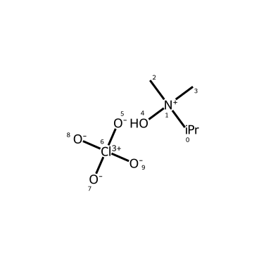 CC(C)[N+](C)(C)O.[O-][Cl+3]([O-])([O-])[O-]